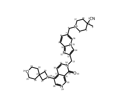 CC1(C#N)CCN(Cc2ccc3nc(Cn4ccc5c(N6CC7(CCOCC7)C6)cncc5c4=O)cn3c2)CC1